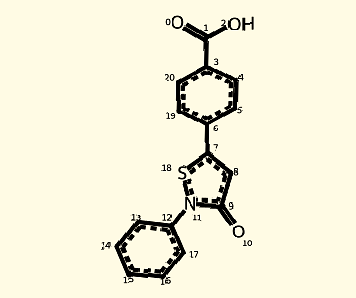 O=C(O)c1ccc(-c2cc(=O)n(-c3ccccc3)s2)cc1